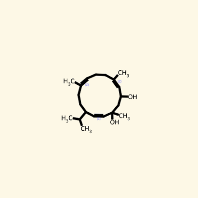 C/C1=C/C(O)CC(C)(O)/C=C\C(C(C)C)CC/C(C)=C\CC1